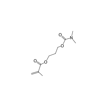 C=C(C)C(=O)OCCCOC(=O)N(C)C